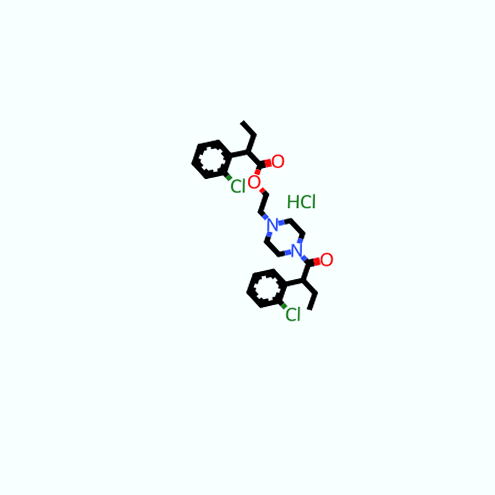 CCC(C(=O)OCCN1CCN(C(=O)C(CC)c2ccccc2Cl)CC1)c1ccccc1Cl.Cl